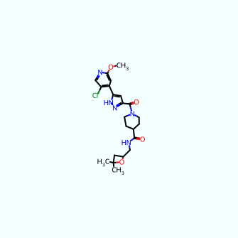 COc1cc(-c2cc(C(=O)N3CCC(C(=O)NCC4CC(C)(C)O4)CC3)n[nH]2)c(Cl)cn1